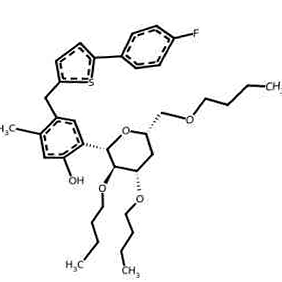 CCCCOC[C@@H]1C[C@H](OCCCC)[C@@H](OCCCC)[C@H](c2cc(Cc3ccc(-c4ccc(F)cc4)s3)c(C)cc2O)O1